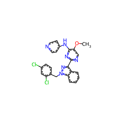 COc1cnc(-c2nn(Cc3ccc(Cl)cc3Cl)c3ccccc23)nc1Nc1ccncc1